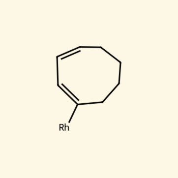 [Rh][C]1=CC=CCCCC1